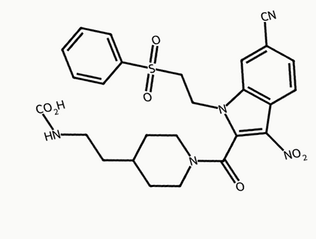 N#Cc1ccc2c([N+](=O)[O-])c(C(=O)N3CCC(CCNC(=O)O)CC3)n(CCS(=O)(=O)c3ccccc3)c2c1